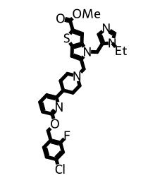 CCn1cncc1Cn1c(CN2CCC(c3cccc(OCc4ccc(Cl)cc4F)n3)CC2)cc2sc(C(=O)OC)cc21